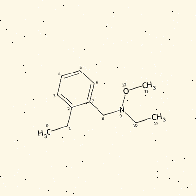 CCc1ccccc1CN(CC)OC